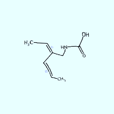 C/C=C\C(=C/C)CNC(=O)O